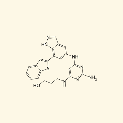 Nc1nc(NCCCO)cc(Nc2cc(-c3cc4ccccc4s3)c3[nH]ncc3c2)n1